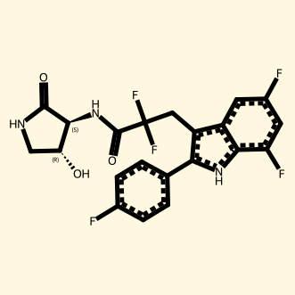 O=C1NC[C@@H](O)[C@@H]1NC(=O)C(F)(F)Cc1c(-c2ccc(F)cc2)[nH]c2c(F)cc(F)cc12